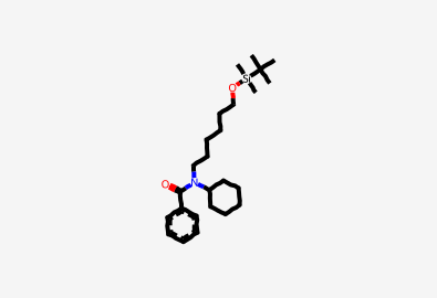 CC(C)(C)[Si](C)(C)OCCCCCCN(C(=O)c1ccccc1)C1CCCCC1